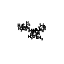 CC(C)c1nc(N2CCCOCC2)sc1C(=O)NCCCC(C)(C)C